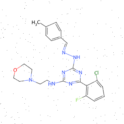 Cc1ccc(C=NNc2nc(NCCN3CCOCC3)nc(-c3c(F)cccc3Cl)n2)cc1